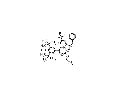 CCOC(=O)[C@@H]1C[C@H](Cc2ccccc2)C(=NC(=O)C(F)(F)F)N1CC(=O)c1cc(C(C)(C)C)c(O)c(C(C)(C)C)c1